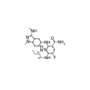 CC[C@H](N)[C@@H](C)Nc1nc(Nc2ccc3c(c2)c(NC)nn3C)c(C(N)=O)cc1F